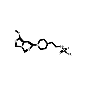 COc1ncn2cnc(N3CCC(CCNS(N)(=O)=O)CC3)cc12